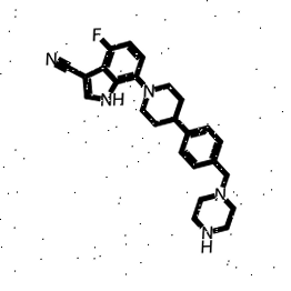 N#Cc1c[nH]c2c(N3CCC(c4ccc(CN5CCNCC5)cc4)CC3)ccc(F)c12